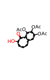 CC(=O)Oc1cc2cccc(O)c(=O)c2c(OC(C)=O)c1OC(C)=O